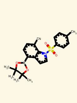 Cc1ccc(S(=O)(=O)n2ccc3c(B4OC(C)(C)C(C)(C)O4)ccc(C#N)c32)cc1